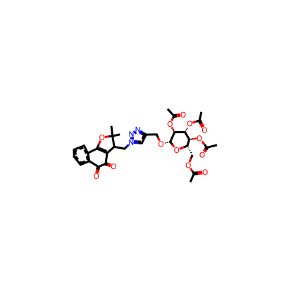 CC(=O)OC[C@@H]1O[C@H](OCc2cn(CC3C4=C(OC3(C)C)c3ccccc3C(=O)C4=O)nn2)[C@@H](OC(C)=O)[C@H](OC(C)=O)[C@H]1OC(C)=O